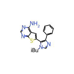 CCC(C)n1cnc(-c2ccccc2)c1-c1cc2c(N)ncnc2s1